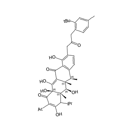 CC(=O)C1=C(O)C(C(C)C)[C@@]2(C)[C@H](O)[C@]3(C)C(=C(O)[C@@]2(O)C1=O)C(=O)c1c(ccc(CC(=O)Cc2ccc(C)cc2C(C)(C)C)c1O)[C@H]3C